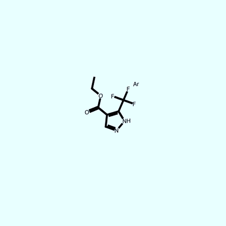 CCOC(=O)c1cn[nH]c1C(F)(F)F.[Ar]